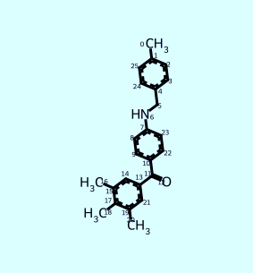 Cc1ccc(CNc2ccc(C(=O)c3cc(C)c(C)c(C)c3)cc2)cc1